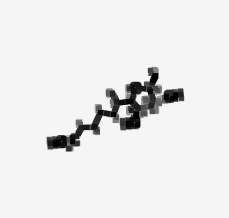 CC(CCCCC(=O)O)C1O[C@@H](C)[C@H](O)C[C@H]1O